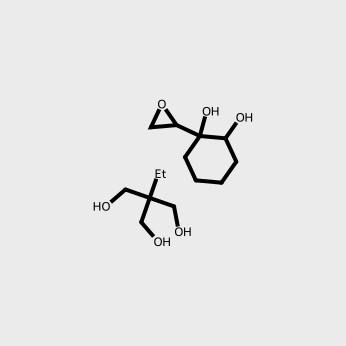 CCC(CO)(CO)CO.OC1CCCCC1(O)C1CO1